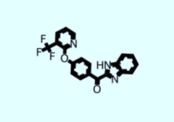 O=C(c1ccc(Oc2ncccc2C(F)(F)F)cc1)c1nc2ccccc2[nH]1